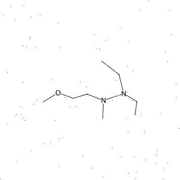 CCN(CC)N(C)CCOC